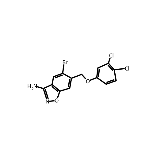 Nc1noc2cc(COc3ccc(Cl)c(Cl)c3)c(Br)cc12